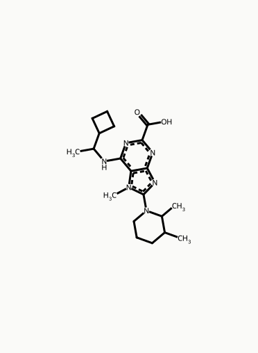 CC1CCCN(c2nc3nc(C(=O)O)nc(NC(C)C4CCC4)c3n2C)C1C